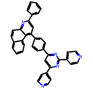 c1ccc(-c2cc(-c3ccc(-c4cc(-c5ccncc5)nc(-c5ccncc5)n4)cc3)c3c(ccc4ccccc43)n2)cc1